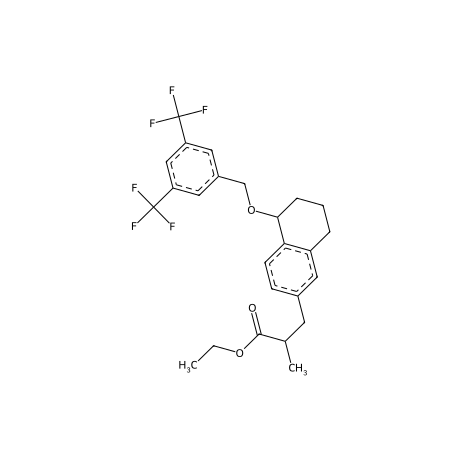 CCOC(=O)C(C)Cc1ccc2c(c1)CCCC2OCc1cc(C(F)(F)F)cc(C(F)(F)F)c1